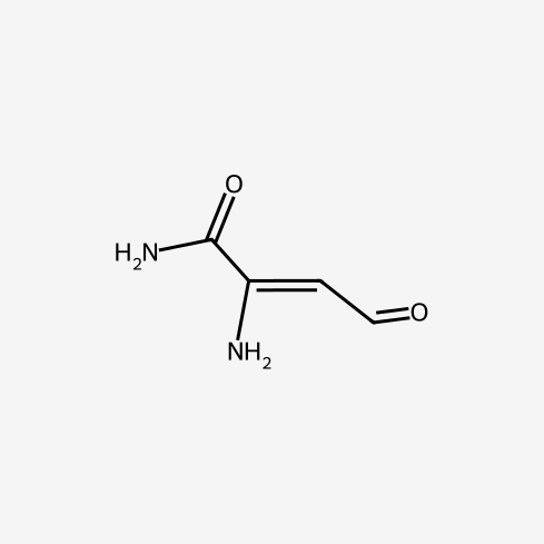 NC(=O)C(N)=CC=O